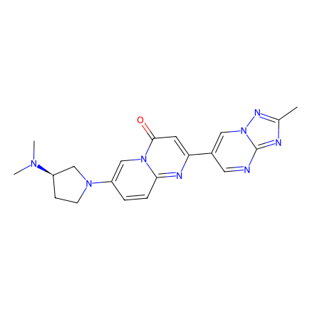 Cc1nc2ncc(-c3cc(=O)n4cc(N5CC[C@@H](N(C)C)C5)ccc4n3)cn2n1